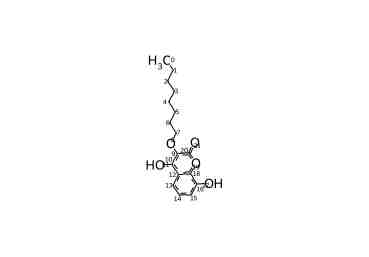 CCCCCCCCOc1c(O)c2cccc(O)c2oc1=O